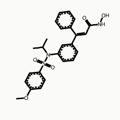 COc1ccc(S(=O)(=O)N(c2cccc(C(=CC(=O)NO)c3ccccc3)c2)C(C)C)cc1